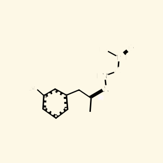 C/C(Cc1cccc(Br)c1)=N/NO[PH](=O)O